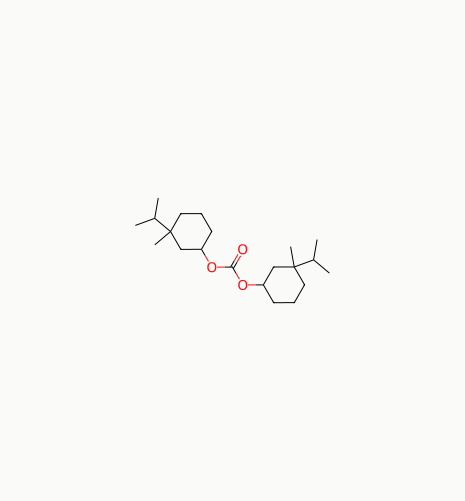 CC(C)C1(C)CCCC(OC(=O)OC2CCCC(C)(C(C)C)C2)C1